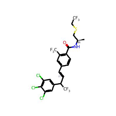 C[C@H](CSCC(F)(F)F)NC(=O)c1ccc(/C=C/C(c2cc(Cl)c(Cl)c(Cl)c2)C(F)(F)F)cc1C(F)(F)F